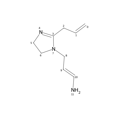 C=CCC1=NCCN1CC=CN